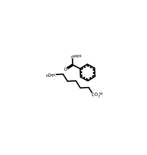 CCCCCCC(=O)c1ccccc1.CCCCCCCCCCCCCCCC(=O)O